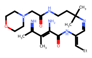 CC/C=C(\C=N/C(C)(C)CCNC(=O)CN1CCOCC1)NC(=O)/C(N)=C(\C)C(C)=N